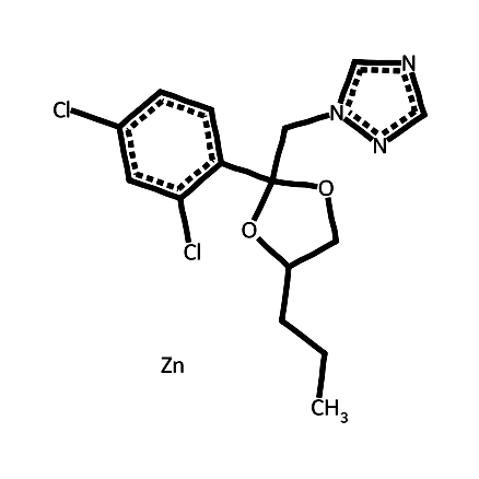 CCCC1COC(Cn2cncn2)(c2ccc(Cl)cc2Cl)O1.[Zn]